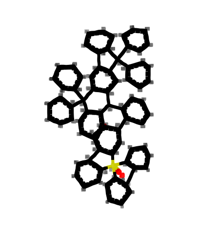 O=S12(c3ccccc3-c3ccccc31)c1ccccc1-c1ccc(-c3ccccc3C3c4ccccc4C(c4ccccc4)(c4ccccc4)c4cc5c(cc43)C(c3ccccc3)(c3ccccc3)c3ccccc3-5)cc12